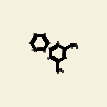 Nc1cc(N)ncn1.c1ccncc1